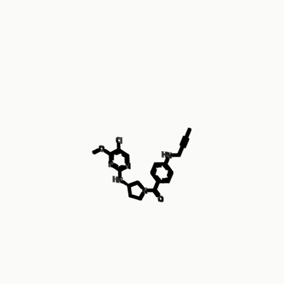 CC#CCNc1ccc(C(=O)N2CC[C@@H](Nc3ncc(Cl)c(OC)n3)C2)cc1